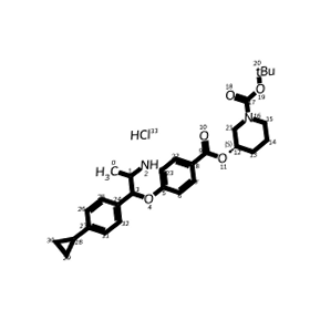 CC(N)C(Oc1ccc(C(=O)O[C@H]2CCCN(C(=O)OC(C)(C)C)C2)cc1)c1ccc(C2CC2)cc1.Cl